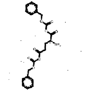 N[C@@H](CCC(=O)OC(=O)OCc1ccccc1)C(=O)OC(=O)OCc1ccccc1